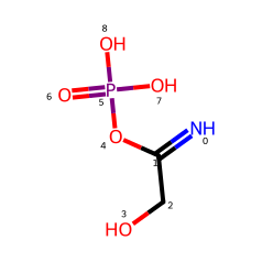 N=C(CO)OP(=O)(O)O